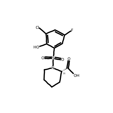 O=C(O)[C@@H]1CCCCN1S(=O)(=O)c1cc(F)cc(Cl)c1O